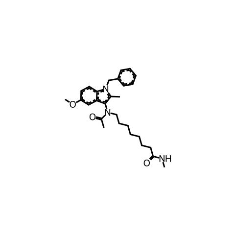 CNC(=O)CCCCCCCN(C(C)=O)c1c(C)n(Cc2ccccc2)c2ccc(OC)cc12